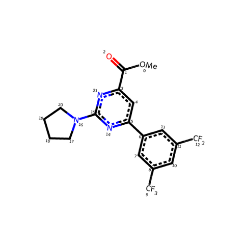 COC(=O)c1cc(-c2cc(C(F)(F)F)cc(C(F)(F)F)c2)nc(N2CCCC2)n1